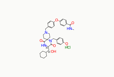 CNC(=O)c1ccc(Oc2ccc(CN3CCC4(CC3)C(=O)N[C@H]([C@H](O)C3CCCCC3)C(=O)N4Cc3ccc(OC)cc3)cc2)cc1.Cl